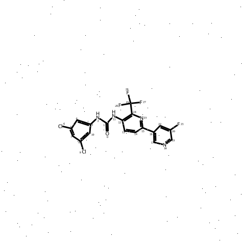 O=C(Nc1cc(Cl)cc(Cl)c1)Nc1ccc(-c2cncc(F)c2)nc1C(F)(F)F